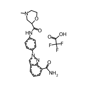 CN1CCOC(C(=O)Nc2ccc(-n3cc4cccc(C(N)=O)c4n3)cc2)C1.O=C(O)C(F)(F)F